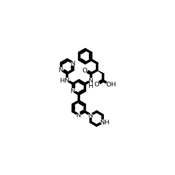 O=C(O)C[C@H](Cc1ccccc1)C(=O)Nc1cc(Nc2cnccn2)nc(-c2ccnc(N3CCNCC3)c2)c1